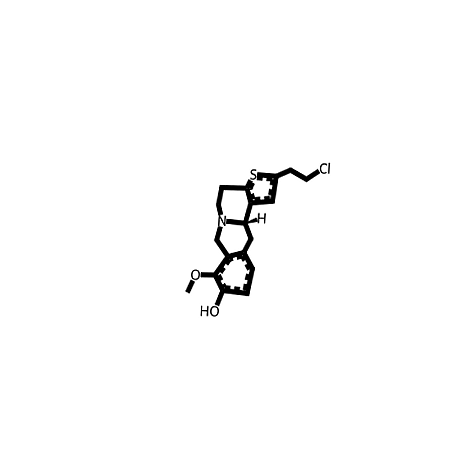 COc1c(O)ccc2c1CN1CCc3sc(CCCl)cc3[C@@H]1C2